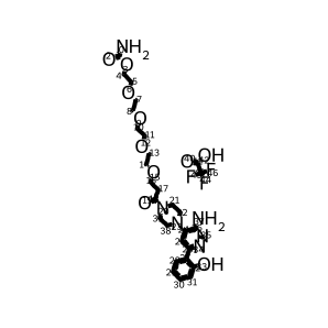 NC(=O)OCCOCCOCCOCCOCCC(=O)N1CCN(c2cc(-c3ccccc3O)nnc2N)CC1.O=C(O)C(F)(F)F